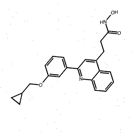 O=C(CCc1cc(-c2cccc(OCC3CC3)c2)nc2ccccc12)NO